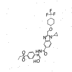 CCS(=O)(=O)c1ccc([C@H](CO)NC(=O)c2ccc3c(c2)nc(CO[C@H]2CC[C@@H](C(F)(F)F)CC2)n3C2CC2)cc1